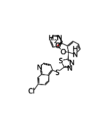 NC(=O)C1=CC=CNC1(Oc1ccccc1)c1nnc(Sc2ccnc3cc(Cl)ccc23)s1